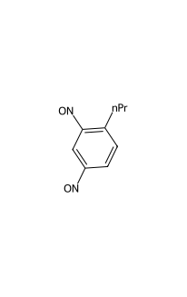 CCCc1ccc(N=O)cc1N=O